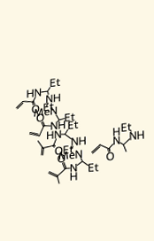 C=C(C)C(=O)NC(CC)NC.C=C(C)C(=O)NC(CC)NCC.C=CC(=O)NC(C)NCC.C=CC(=O)NC(CC)NC.C=CC(=O)NC(CC)NCC